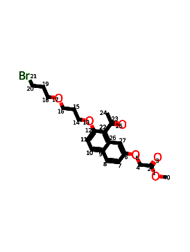 COC(=O)COc1ccc2ccc(OCCCOCCCBr)c(C(C)=O)c2c1